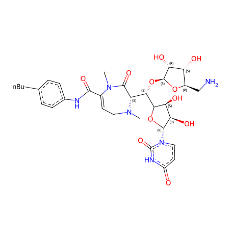 CCCCc1ccc(NC(=O)C2=CCN(C)[C@@H]([C@H](O[C@@H]3O[C@H](CN)[C@@H](O)[C@H]3O)C3O[C@@H](n4ccc(=O)[nH]c4=O)[C@H](O)[C@@H]3O)C(=O)N2C)cc1